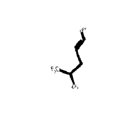 CCCC=CCC(C(F)(F)F)C(F)(F)F